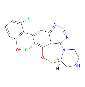 Oc1cccc(F)c1-c1cc2ncnc3c2c(c1Cl)OC[C@@H]1CNCCN31